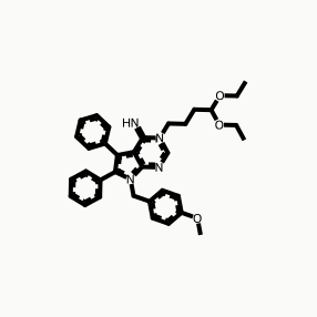 CCOC(CCCn1cnc2c(c(-c3ccccc3)c(-c3ccccc3)n2Cc2ccc(OC)cc2)c1=N)OCC